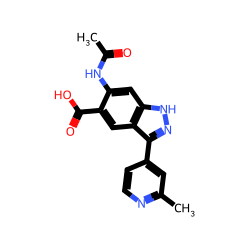 CC(=O)Nc1cc2[nH]nc(-c3ccnc(C)c3)c2cc1C(=O)O